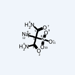 NC(=O)C(I)(C(N)=O)S(=O)(=O)[O-].[Na+]